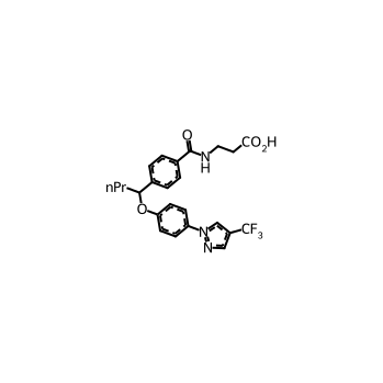 CCCC(Oc1ccc(-n2cc(C(F)(F)F)cn2)cc1)c1ccc(C(=O)NCCC(=O)O)cc1